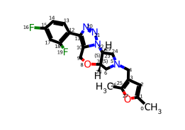 Cc1cc(CN2C[C@@H]3OCc4c(-c5ccc(F)cc5F)nnn4[C@H]3C2)c(C)o1